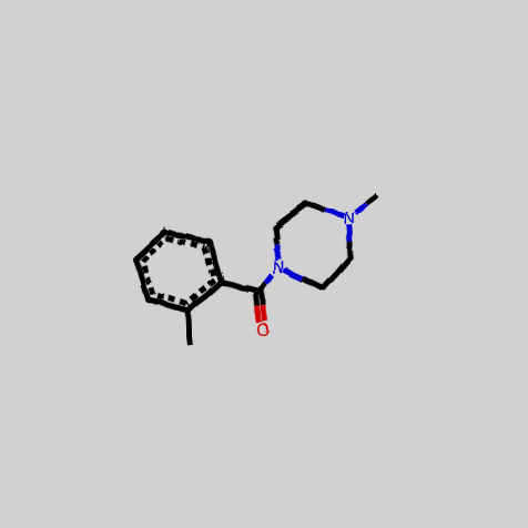 Cc1cc[c]cc1C(=O)N1CCN(C)CC1